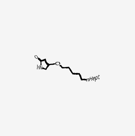 CCCCCCCCCCCCOC1=CC(=O)NC1